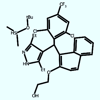 CCc1n[nH]c(CC)c1C(c1c(Cl)cc(C(F)(F)F)cc1Cl)c1c(OCCO)ccc2ccccc12.C[SiH](C)OC(C)(C)C